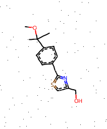 COC(C)(C)c1ccc(-c2nc(CO)cs2)cc1